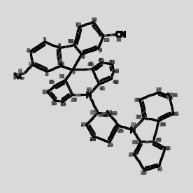 N#Cc1ccc2c(c1)C1(c3cc(C#N)ccc3-2)c2ccccc2N(c2cccc(-n3c4ccccc4c4cnccc43)n2)c2ccccc21